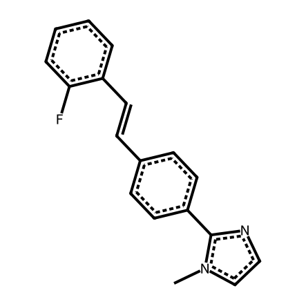 Cn1ccnc1-c1ccc(C=Cc2ccccc2F)cc1